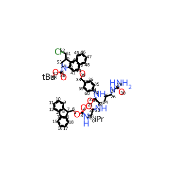 CC(C)[C@H](NC(=O)OCC1c2ccccc2-c2ccccc21)C(=O)N[C@@H](CCCNC(N)=O)C(=O)Nc1ccc(COc2cc3c(c4ccccc24)C(CCl)CN3C(=O)OC(C)(C)C)cc1